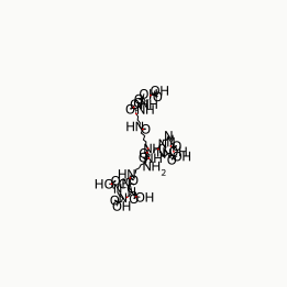 N[C@@H](CCCCNC(=O)CN1CCN(CC(=O)O)CCN(CC(=O)O)CCN(CC(=O)O)CC1)C(=O)N[C@@H](CCCCN(Cc1nccn1CC(=O)O)Cc1nccn1CC(=O)O)C(=O)NCCCCCC(=O)NCCCC[C@H](NC(=O)N[C@@H](CCC(=O)O)C(=O)O)C(=O)O